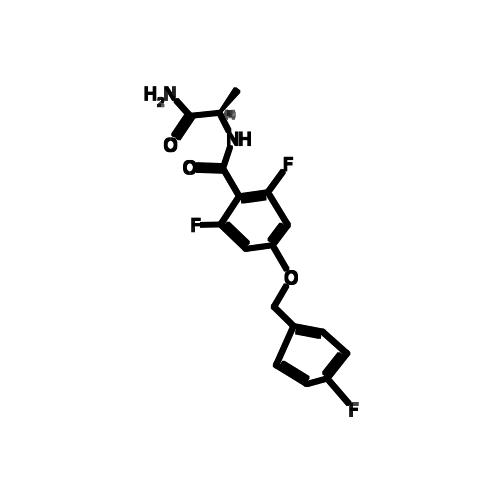 C[C@@H](NC(=O)c1c(F)cc(OCc2ccc(F)cc2)cc1F)C(N)=O